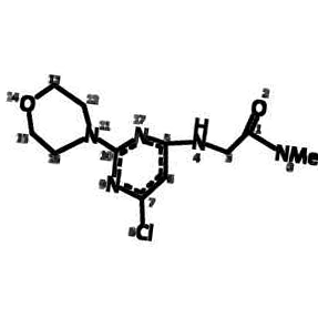 CNC(=O)CNc1cc(Cl)nc(N2CCOCC2)n1